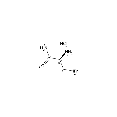 CC(C)C[C@H](N)C(N)=O.Cl